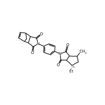 CC[C@H]1CC(C)C2C(=O)N(c3ccc(N4C(=O)C5C6C=CC(C6)C5C4=O)cc3)C(=O)C21